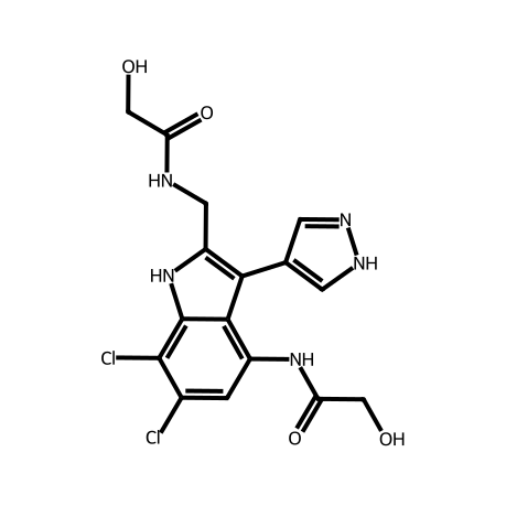 O=C(CO)NCc1[nH]c2c(Cl)c(Cl)cc(NC(=O)CO)c2c1-c1cn[nH]c1